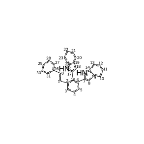 C(=Cc1cccc(-c2cc3ccccc3[nH]2)c1-c1cc2ccccc2[nH]1)c1ccccc1